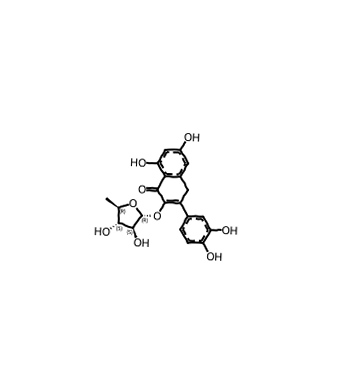 C[C@H]1O[C@H](OC2=C(c3ccc(O)c(O)c3)Cc3cc(O)cc(O)c3C2=O)[C@@H](O)[C@@H]1O